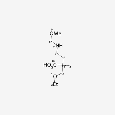 CCOCC(C)(CCNCOC)C(=O)O